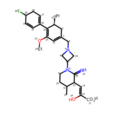 CCC[C@H]1CC(CN2CC(N3CCC(C)C(/C=C(\O)C(=O)O)C3=N)C2)=CC(OCC)=C1C1=CCC(F)C=C1